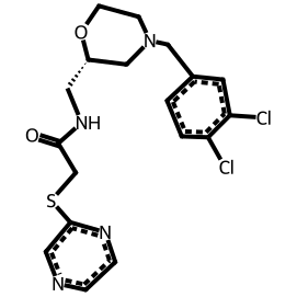 O=C(CSc1cnccn1)NC[C@H]1CN(Cc2ccc(Cl)c(Cl)c2)CCO1